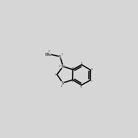 CC(C)(C)SN1CSc2ccccc21